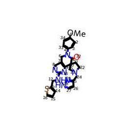 COc1ccc(N2Cc3cnc(NCc4cccs4)nc3C3(CCN(Cc4cc[nH]n4)C3)C2=O)cc1